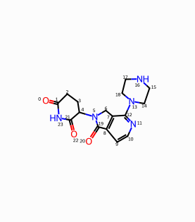 O=C1CCC(N2Cc3c(ccnc3N3CCNCC3)C2=O)C(=O)N1